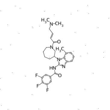 Cc1cccc2nc(NC(=O)c3cc(F)c(F)c(F)c3)n(C3CCCCN(C(=O)C=CCN(C)C)C3)c12